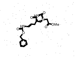 COC(=O)Cn1cc(CC=CNC(=O)OCc2ccccc2)c(=O)[nH]c1=O